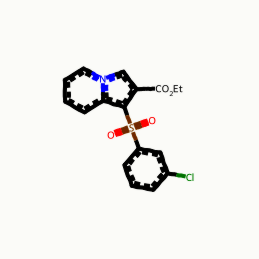 CCOC(=O)c1cn2ccccc2c1S(=O)(=O)c1cccc(Cl)c1